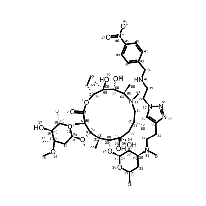 CC[C@H]1OC(=O)[C@H](C)[C@@H](O[C@H]2C[C@@](C)(OC)[C@@H](O)[C@H](C)O2)[C@H](C)[C@@H](O[C@@H]2O[C@H](C)C[C@H](N(C)CCc3cn(CCNCc4ccc([N+](=O)[O-])cc4)nn3)[C@H]2O)[C@](C)(O)C[C@@H](C)CN(C)[C@H](C)[C@@H](O)[C@]1(C)O